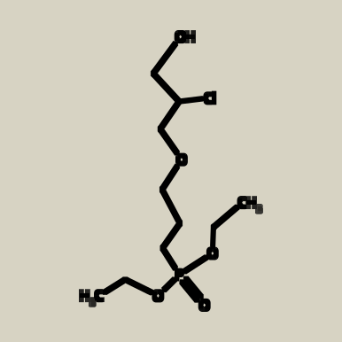 CCOP(=O)(CCCOCC(Cl)CO)OCC